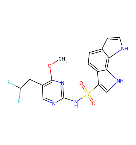 COc1nc(NS(=O)(=O)c2c[nH]c3c2ccc2cc[nH]c23)ncc1CC(F)F